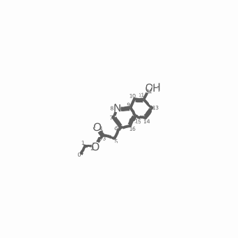 CCOC(=O)Cc1cnc2cc(O)ccc2c1